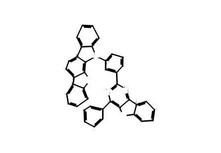 c1ccc(-c2nc(-c3cccc(-n4c5ccccc5c5ccc6c7ccccc7sc6c54)c3)nc3c2oc2ccccc23)cc1